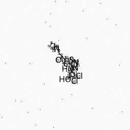 O=C(/C=C/CN1CC2CCC(C2)C1)N1CCc2c(sc3ncnc(Nc4cc(O)c(Cl)c(Cl)c4)c23)C1